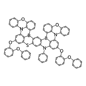 c1ccc(Oc2ccccc2Oc2cc3c4c(c2)N2c5ccccc5Oc5cccc(c52)B4c2cc4c(cc2S3)N(c2ccccc2)c2cc(Oc3ccccc3Oc3ccccc3)cc3c2B4c2cccc4c2N3c2ccccc2O4)cc1